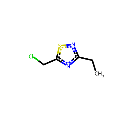 CCc1nsc(CCl)n1